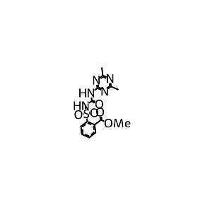 COC(=O)c1ccccc1S(=O)(=O)NC(=O)Nc1nc(C)nc(C)n1